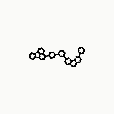 c1ccc(-c2ccc3ccc4ccc(-c5cccc(-c6ccc(-c7ccc8c9c(cccc79)-c7ccccc7-8)cc6)c5)nc4c3n2)cc1